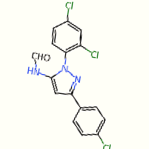 O=CNc1cc(-c2ccc(Cl)cc2)nn1-c1ccc(Cl)cc1Cl